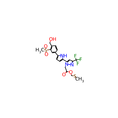 CSCOC(=O)Cn1nc(C(F)(F)F)cc1-c1ccc(-c2ccc(CO)c(S(C)(=O)=O)c2)[nH]1